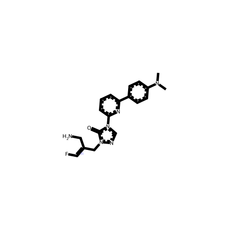 CN(C)c1ccc(-c2cccc(-n3cnn(C/C(=C/F)CN)c3=O)n2)cc1